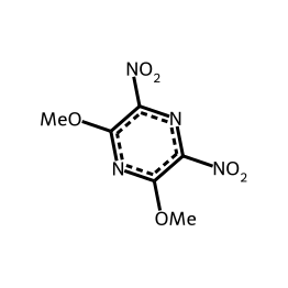 COc1nc(OC)c([N+](=O)[O-])nc1[N+](=O)[O-]